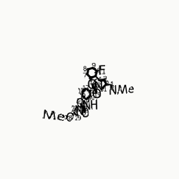 CNCc1cc(-c2ccccc2F)n(S(=O)(=O)c2cccc(NS(=O)(=O)N3CC(OC)C3)c2)c1